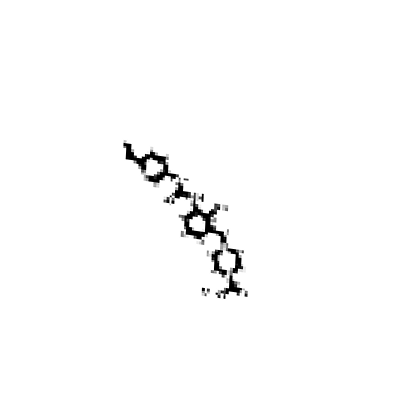 C=Cc1ccc(NC(=O)Nc2cccc(CN3CCN(C(=O)OC)CC3)c2F)cn1